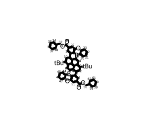 CC(C)(C)c1cc2c3c(cc4c(C(C)(C)C)cc5c6c(cc1c3c46)B1c3ccccc3Oc3cc(C(=O)OCc4ccccc4)cc-5c31)B1c3ccccc3Oc3cc(C(=O)OCc4ccccc4)cc-2c31